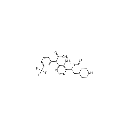 CC(=O)C(c1cccc(C(F)(F)F)c1)c1ncnc(C(CC2CCNCC2)OC=O)c1N